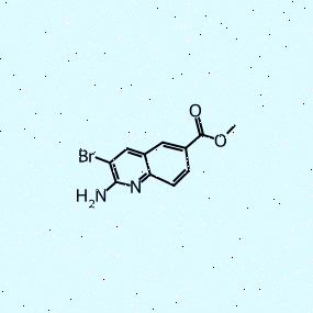 COC(=O)c1ccc2nc(N)c(Br)cc2c1